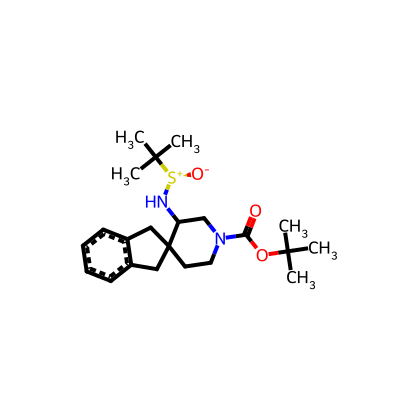 CC(C)(C)OC(=O)N1CCC2(Cc3ccccc3C2)C(N[S@+]([O-])C(C)(C)C)C1